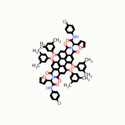 Cc1cc(C)cc(Oc2cc3c4c(cc(Oc5cc(C)cc(C)c5)c5c6c(Oc7cc(C)cc(C)c7)cc7c8c(cc(Oc9cc(C)cc(C)c9)c(c2c45)c86)C(=O)N(C(C(=O)Nc2ccc(Cl)cc2)c2ccco2)C7=O)C(=O)N(C(C(=O)Nc2ccc(Cl)cc2)c2ccco2)C3=O)c1